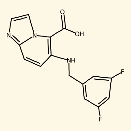 O=C(O)c1c(NCc2cc(F)cc(F)c2)ccc2nccn12